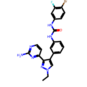 CCn1cc(-c2cccc(NC(=O)Nc3ccc(Br)c(F)c3)c2)c(-c2ccnc(N)n2)n1